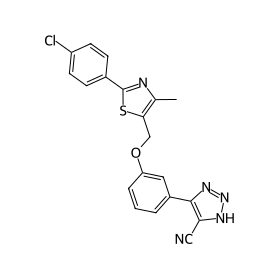 Cc1nc(-c2ccc(Cl)cc2)sc1COc1cccc(-c2nn[nH]c2C#N)c1